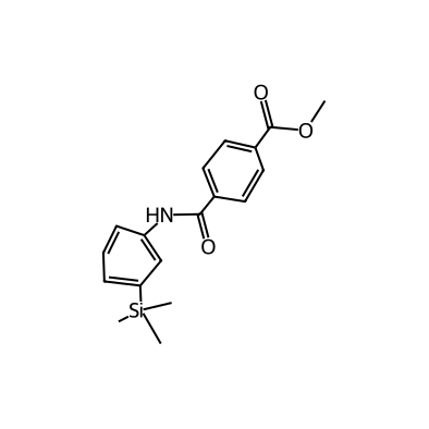 COC(=O)c1ccc(C(=O)Nc2cccc([Si](C)(C)C)c2)cc1